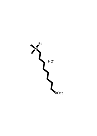 CCCCCCCCCCCCCCCC[N+](C)(C)CC.[OH-]